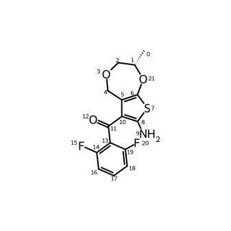 C[C@H]1COCc2c(sc(N)c2C(=O)c2c(F)cccc2F)O1